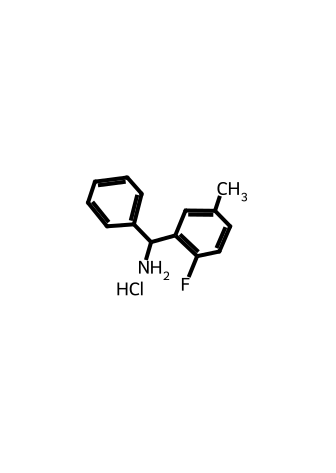 Cc1ccc(F)c(C(N)c2ccccc2)c1.Cl